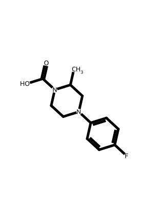 CC1CN(c2ccc(F)cc2)CCN1C(=O)O